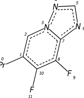 CC(C)c1cn2ncnc2c(F)c1F